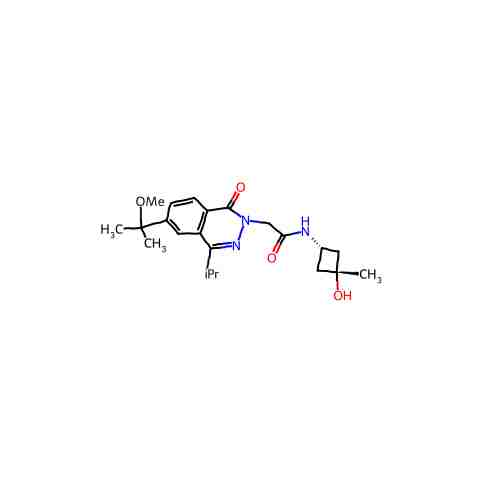 COC(C)(C)c1ccc2c(=O)n(CC(=O)N[C@H]3C[C@@](C)(O)C3)nc(C(C)C)c2c1